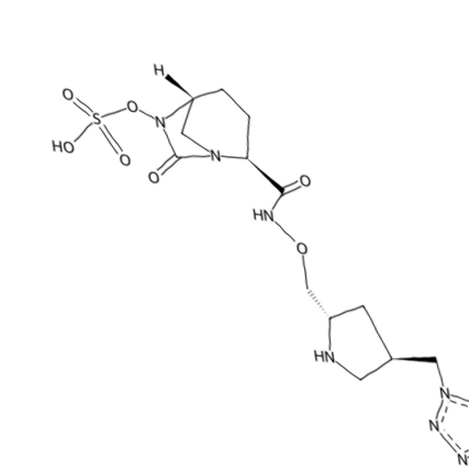 O=C(NOC[C@@H]1C[C@@H](Cn2ncnn2)CN1)[C@@H]1CC[C@@H]2CN1C(=O)N2OS(=O)(=O)O